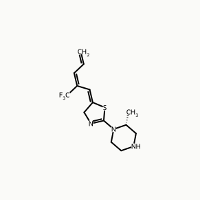 C=C/C=C(\C=C1/CN=C(N2CCNC[C@H]2C)S1)C(F)(F)F